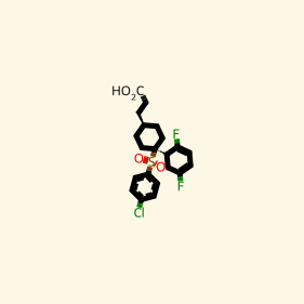 O=C(O)CC[C@H]1CC[C@@](C2CC(F)=CC=C2F)(S(=O)(=O)c2ccc(Cl)cc2)CC1